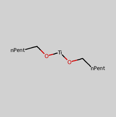 CCCCCC[O][Ti][O]CCCCCC